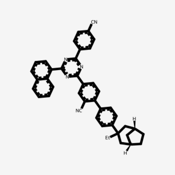 CCC1(c2ccc(-c3ccc(-c4nc(-c5ccc(C#N)cc5)nc(-c5cccc6ccccc56)n4)cc3C#N)cc2)C[C@@H]2CC[C@@H](C2)C1